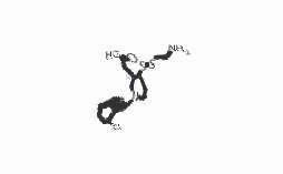 NCCSSC1CCN(Cc2ccccc2Cl)C/C1=C/C(=O)O